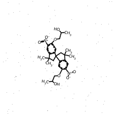 CC(O)COc1cc2c(cc1[N+](=O)[O-])C(C)(C)CC21CC(C)(C)c2cc([N+](=O)[O-])c(OCC(C)O)cc21